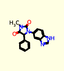 CN1C(=O)C(c2ccccc2)N(c2ccc3[nH]cnc3c2)C1=O